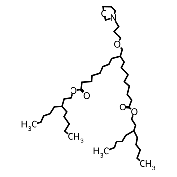 CCCCCC(CCCCC)CCOC(=O)CCCCCCCC(CCCCCCCC(=O)OCCC(CCCCC)CCCCC)COCCCN1CCCCC1